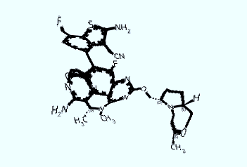 C[C@H](c1nccnc1N)N(C)c1nc(OC[C@@H]2CC[C@@H]3CO[C@@H](C)CN32)nc2c(F)c(-c3ccc(F)c4sc(N)c(C#N)c34)c(Cl)cc12